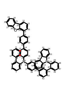 c1ccc(-c2ccccc2N(c2ccc(-c3ccc(-c4cccc5c4oc4ccccc45)cc3)cc2)c2ccc(-c3cccc(-c4ccccc4-n4c5ccccc5c5ccccc54)c3)cc2)cc1